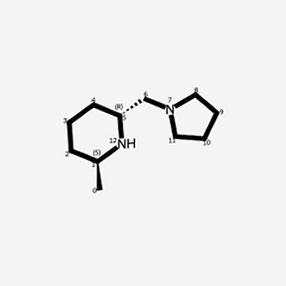 C[C@H]1CCC[C@H](CN2CCCC2)N1